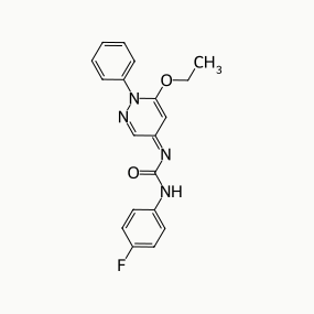 CCOc1cc(=NC(=O)Nc2ccc(F)cc2)cnn1-c1ccccc1